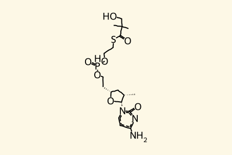 C[C@H]1C[C@@H](CCO[PH](=O)OCCSC(=O)C(C)(C)CO)O[C@H]1n1ccc(N)nc1=O